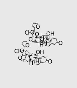 C[C@@H]1C[C@H]2[C@@H]3CCC4=CC(=O)C=C[C@]4(C)[C@@]3(Cl)[C@@H](O)C[C@]2(C)[C@@]1(OC(=O)c1ccco1)C(=O)CCl.C[C@@H]1C[C@H]2[C@@H]3CCC4=CC(=O)C=C[C@]4(C)[C@@]3(Cl)[C@@H](O)C[C@]2(C)[C@@]1(OC(=O)c1ccco1)C(=O)CCl